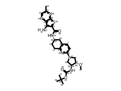 CO[C@H]1CN(c2ccc3c(n2)CC[C@H](NC(=O)c2sc4nc(C)cnc4c2N)C3)C[C@@H]1NC(=O)OC(C)(C)C